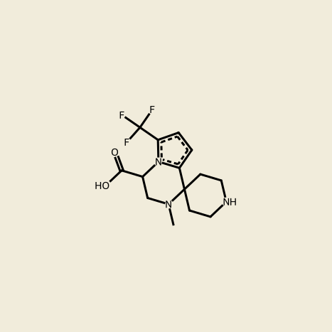 CN1CC(C(=O)O)n2c(C(F)(F)F)ccc2C12CCNCC2